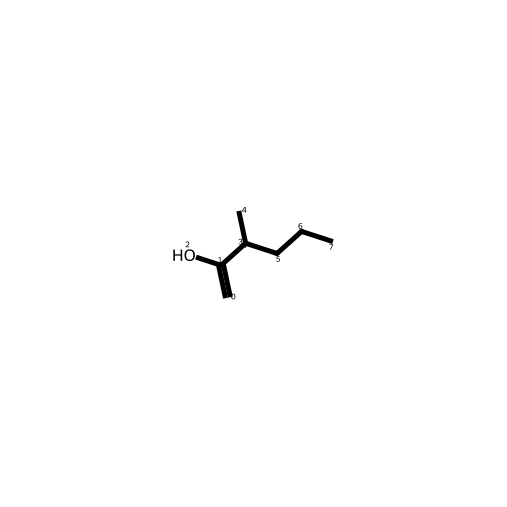 C=C(O)[C](C)CCC